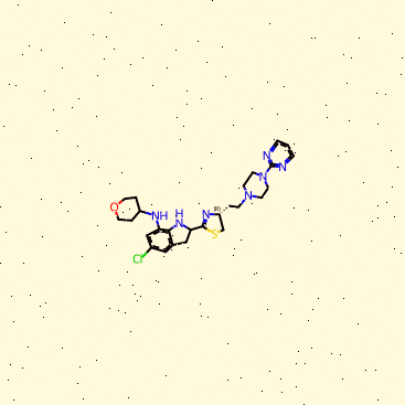 Clc1cc2c(c(NC3CCOCC3)c1)NC(C1=N[C@H](CCN3CCN(c4ncccn4)CC3)CS1)C2